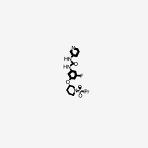 CC(C)S(=O)(=O)N1CCC[C@H](Oc2cc(F)cc(NC(=O)Nc3cccnc3)c2)C1